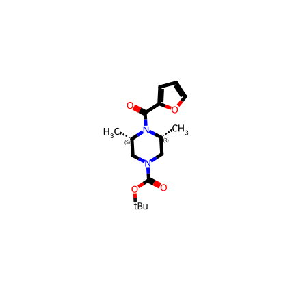 C[C@@H]1CN(C(=O)OC(C)(C)C)C[C@H](C)N1C(=O)c1ccco1